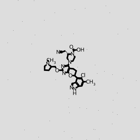 Cc1cc2[nH]ncc2c(C2CCc3c(nc(OCC4CCCN4C)nc3N3CCN(C(=O)O)[C@@H](CC#N)C3)O2)c1Cl